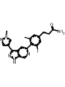 Cc1cc(CCC(N)=O)cc(F)c1-c1cc2c(-c3cnn(C)c3)n[nH]c2cn1